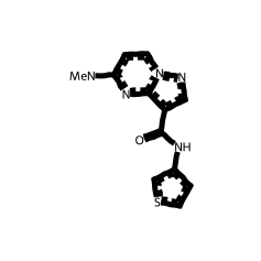 CNc1ccn2ncc(C(=O)Nc3ccsc3)c2n1